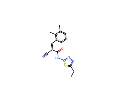 CCc1nnc(NC(=O)/C(C#N)=C\c2cccc(C)c2C)s1